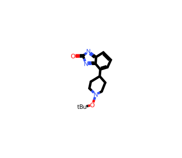 CC(C)(C)ON1CCC(c2cccc3c2=NC(=O)N=3)CC1